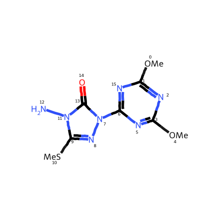 COc1nc(OC)nc(-n2nc(SC)n(N)c2=O)n1